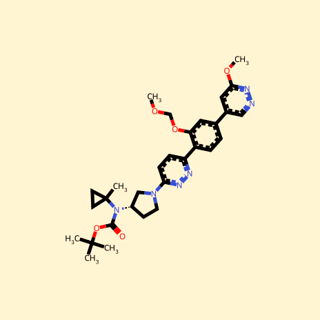 COCOc1cc(-c2cnnc(OC)c2)ccc1-c1ccc(N2CC[C@H](N(C(=O)OC(C)(C)C)C3(C)CC3)C2)nn1